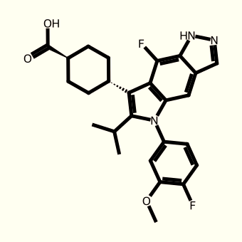 COc1cc(-n2c(C(C)C)c([C@H]3CC[C@H](C(=O)O)CC3)c3c(F)c4[nH]ncc4cc32)ccc1F